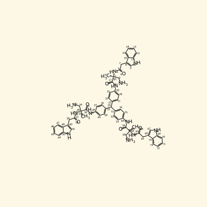 C[C@](CN)(NC(=O)Cc1c[nH]c2ccccc12)C(=O)Nc1ccc(C(c2ccc(NC(=O)[C@@](C)(CN)NC(=O)Cc3c[nH]c4ccccc34)cc2)c2ccc(NC(=O)[C@@](C)(CN)NC(=O)Cc3c[nH]c4ccccc34)cc2)cc1